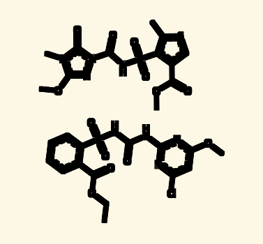 CCOC(=O)c1ccccc1S(=O)(=O)NC(=O)Nc1nc(Cl)cc(OC)n1.COC(=O)c1csc(C)c1S(=O)(=O)NC(=O)n1nc(OC)n(C)c1=O